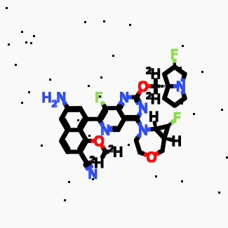 [2H]C([2H])Oc1c(C#N)ccc2cc(N)cc(-c3ncc4c(N5CCOC[C@H]6[C@H](F)[C@H]65)nc(OC([2H])([2H])[C@@]56CCCN5C[C@H](F)C6)nc4c3F)c12